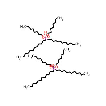 CCCCCCCCCCCCP(O)(CCCCCCCCCCCC)(OCCCCCCCC)OCCCCCCCC.CCCCCCCCCCCCP(O)(CCCCCCCCCCCC)(OCCCCCCCC)OCCCCCCCC